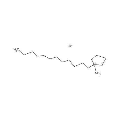 CCCCCCCCCCCC[N+]1(C)CCCC1.[Br-]